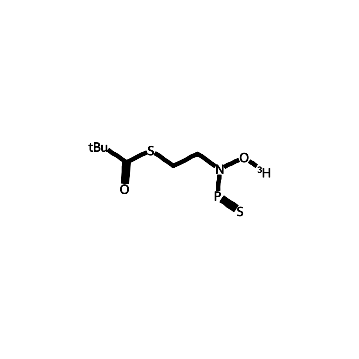 [3H]ON(CCSC(=O)C(C)(C)C)P=S